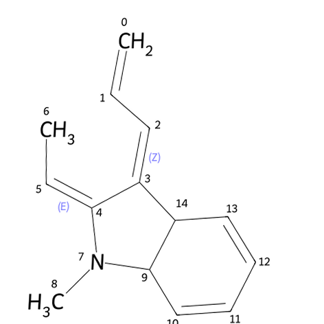 C=C/C=C1\C(=C/C)N(C)C2C=CC=CC12